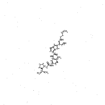 COCCN/C=C(\C=N)c1cn2ncc(C(=O)Nc3cc(NC(=O)CC4CCCN4C(C)C)cnc3C)c2s1